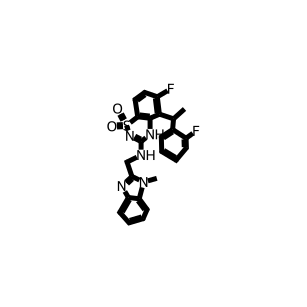 CC(c1ccccc1F)c1c(F)ccc2c1NC(NCc1nc3ccccc3n1C)=NS2(=O)=O